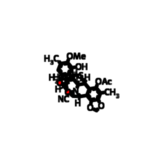 COc1c(C)cc2c(c1O)[C@@H]1[C@@H]3[C@@H]4SCC(N)C(=O)OC[C@@H](c5c6c(c(C)c(OC(C)=O)c54)OCO6)N3[C@@H](C#N)[C@@H](C2)N1C